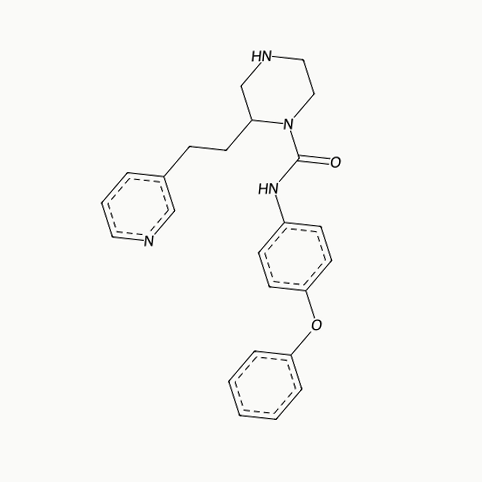 O=C(Nc1ccc(Oc2ccccc2)cc1)N1CCNCC1CCc1cccnc1